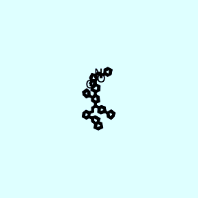 c1ccc(-c2ccc(C(CCc3ccccc3-c3ccc4ccccc4c3)c3ccc(-c4ccc5c(c4)oc4ccc6nc(-c7ccccc7)oc6c45)c(-c4ccccc4)c3)cc2)cc1